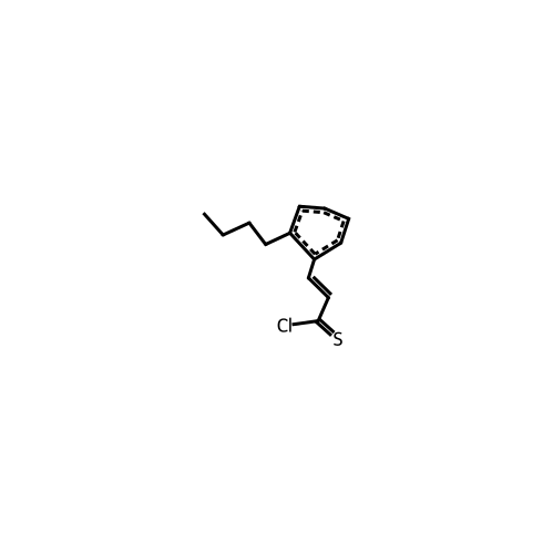 CCCCc1ccccc1C=CC(=S)Cl